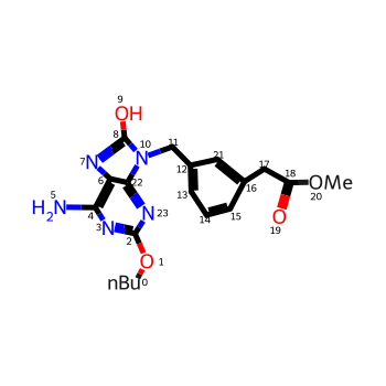 CCCCOc1nc(N)c2nc(O)n(Cc3cccc(CC(=O)OC)c3)c2n1